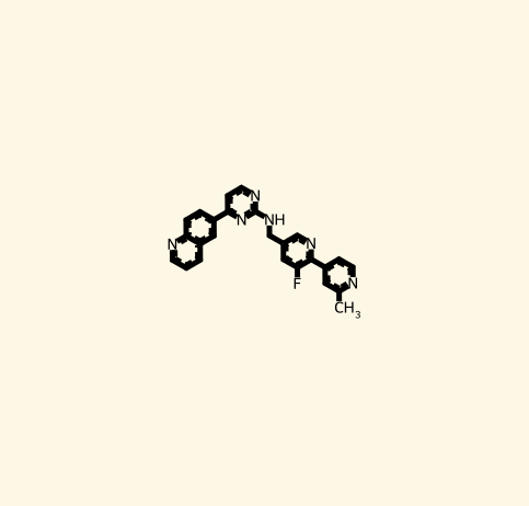 Cc1cc(-c2ncc(CNc3nccc(-c4ccc5ncccc5c4)n3)cc2F)ccn1